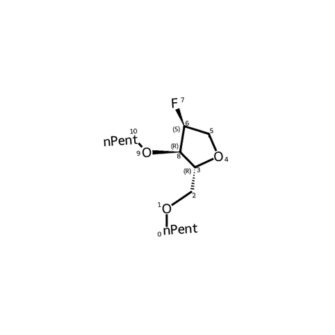 CCCCCOC[C@H]1O[CH][C@H](F)[C@@H]1OCCCCC